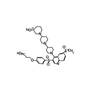 CCCCCCCCCCCCOc1ccc(S(=O)(=O)c2cnc3ccc([S@+](C)[O-])cc3c2N2CCC(N3CCC(N4CCC[C@H](O)C4)CC3)CC2)cc1